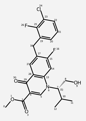 COC(=O)c1cn([C@H](CO)C(C)C)c2cc(F)c(Cc3cccc(Cl)c3F)cc2c1=O